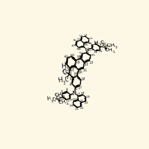 CC1(C)c2cc(N(c3ccc([Si](C)(C)C)cc3)c3cccc4ccccc34)ccc2-c2cc3ccc(N(c4ccc([Si](C)(C)C)cc4)c4cccc5ccccc45)cc3c3cccc1c23